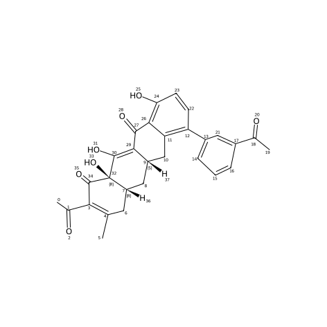 CC(=O)C1=C(C)C[C@H]2C[C@H]3Cc4c(-c5cccc(C(C)=O)c5)ccc(O)c4C(=O)C3=C(O)[C@@]2(O)C1=O